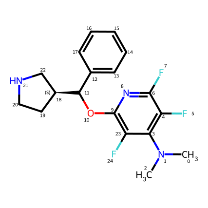 CN(C)c1c(F)c(F)nc(OC(c2ccccc2)[C@H]2CCNC2)c1F